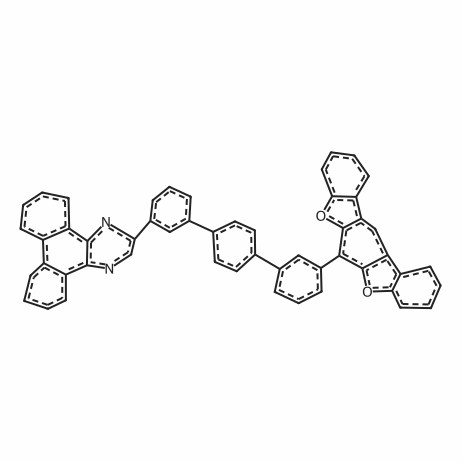 c1cc(-c2ccc(-c3cccc(-c4c5oc6ccccc6c5cc5c4oc4ccccc45)c3)cc2)cc(-c2cnc3c4ccccc4c4ccccc4c3n2)c1